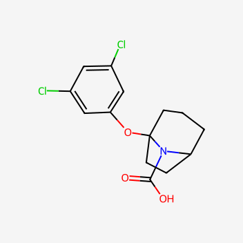 O=C(O)N1C2CCCC1(Oc1cc(Cl)cc(Cl)c1)CC2